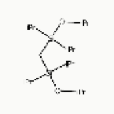 CC(C)O[Si](C[Si](OC(C)C)(C(C)C)C(C)C)(C(C)C)C(C)C